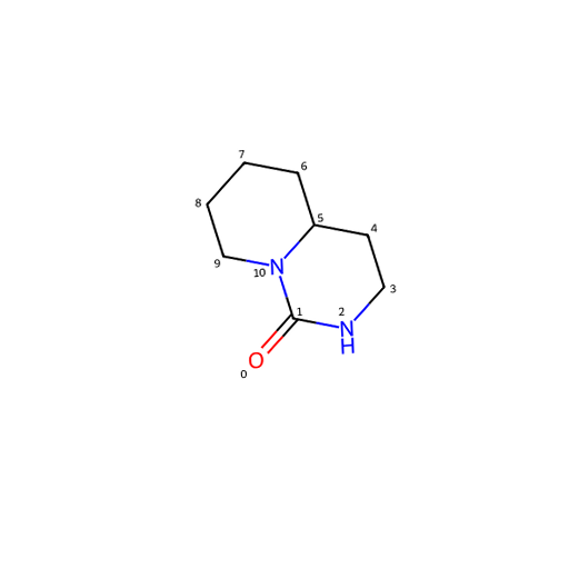 O=C1NCCC2CCCCN12